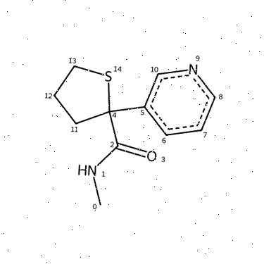 CNC(=O)C1(c2cccnc2)CCCS1